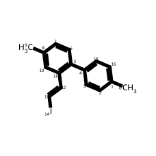 Cc1ccc(-c2ccc(C)cc2C=CI)cc1